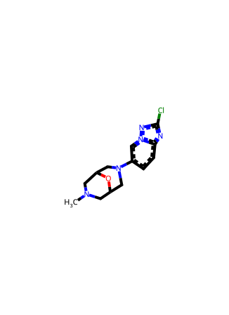 CN1CC2CN(c3ccc4nc(Cl)nn4c3)CC(C1)O2